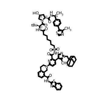 Cc1ncsc1-c1ccc([C@H](C)NC(=O)[C@@H]2C[C@@H](O)CN2C(=O)[C@@H](NC(=O)CCCCCCS(=O)(=O)NC(=O)c2nc(N3CCc4cccc(C(=O)Nc5nc6ccccc6s5)c4C3)ccc2-c2cnn(CC34CC5CC(CC(C5)C3)C4)c2C)C(C)(C)C)cc1